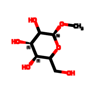 CO[C@H]1OC(CO)[C@@H](O)[C@H](O)C1O